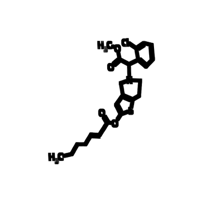 CCCC/C=C/C(=O)Oc1cc2c(s1)CCN(C(C(=O)OC)c1ccccc1Cl)C2